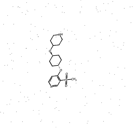 CS(=O)(=O)c1cnccc1O[C@H]1CC[C@H](OC2CCNCC2)CC1